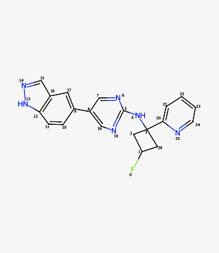 FC1CC(Nc2ncc(-c3ccc4[nH]ncc4c3)cn2)(c2ccccn2)C1